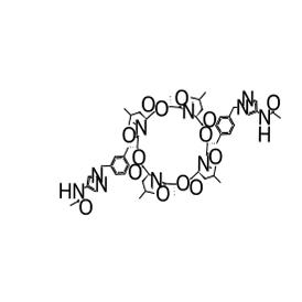 CC(=O)Nc1cnn(Cc2ccc(C[C@H]3OC(=O)[C@H](CC(C)C)N(C)C(=O)[C@@H](C)OC(=O)[C@H](CC(C)C)N(C)C(=O)[C@@H](Cc4cccc(Cn5cc(NC(C)=O)cn5)c4)OC(=O)[C@H](CC(C)C)N(C)C(=O)[C@@H](C)OC(=O)[C@H](CC(C)C)N(C)C3=O)cc2)c1